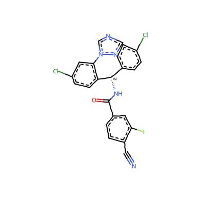 N#Cc1ccc(C(=O)N[C@@H](c2ccc(Cl)cc2)c2ccc(Cl)cc2-n2cncn2)cc1F